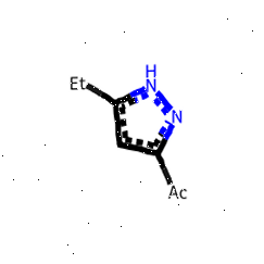 CCc1cc(C(C)=O)n[nH]1